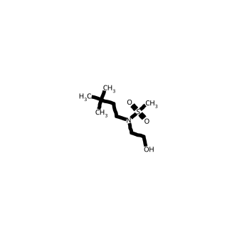 CC(C)(C)CCN(CCO)S(C)(=O)=O